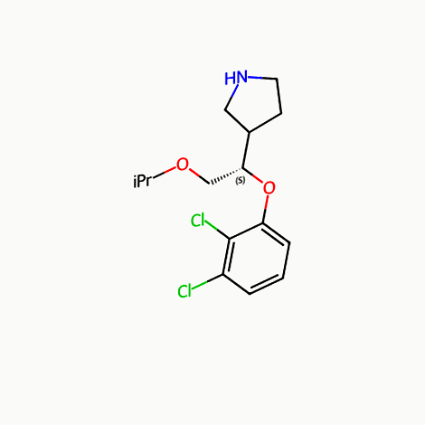 CC(C)OC[C@@H](Oc1cccc(Cl)c1Cl)C1CCNC1